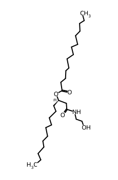 CCCCCCCCCCCCCC(=O)O[C@H](CCCCCCCCCCC)CC(=O)NCCO